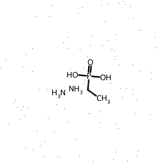 CCP(=O)(O)O.N.N